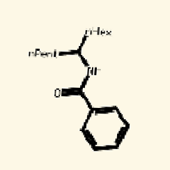 CCCCCCC(CCCCC)NC(=O)c1ccccc1